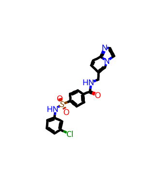 O=C(NCc1ccc2nccn2c1)c1ccc(S(=O)(=O)Nc2cccc(Cl)c2)cc1